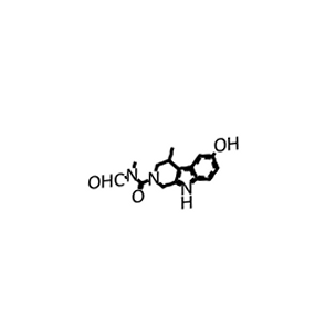 CC1CN(C(=O)N(C)C=O)Cc2[nH]c3ccc(O)cc3c21